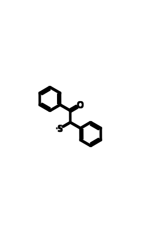 O=C(c1ccccc1)C([S])c1ccccc1